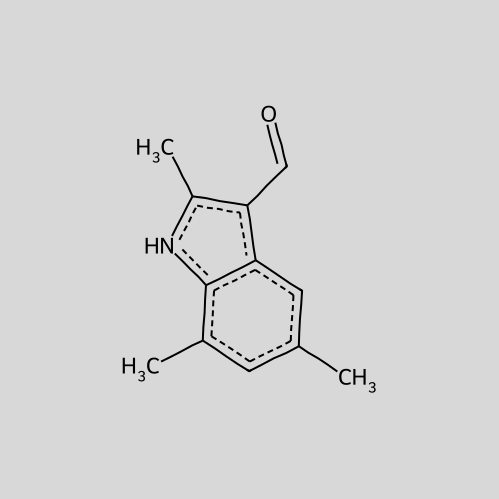 Cc1cc(C)c2[nH]c(C)c(C=O)c2c1